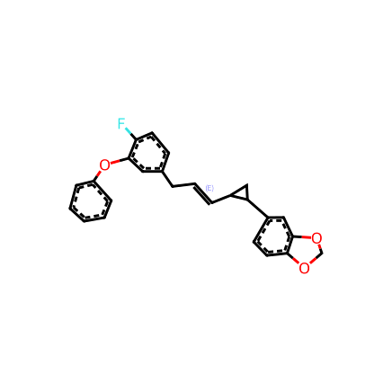 Fc1ccc(C/C=C/C2CC2c2ccc3c(c2)OCO3)cc1Oc1ccccc1